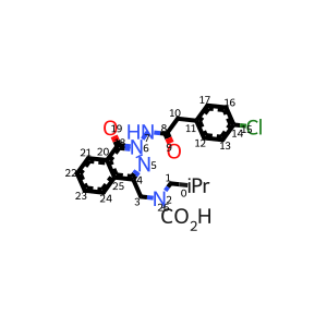 CC(C)CN(Cc1nn(NC(=O)Cc2ccc(Cl)cc2)c(=O)c2ccccc12)C(=O)O